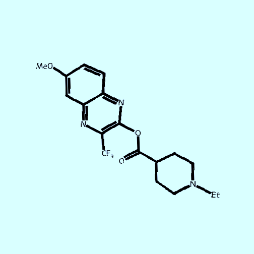 CCN1CCC(C(=O)Oc2nc3ccc(OC)cc3nc2C(F)(F)F)CC1